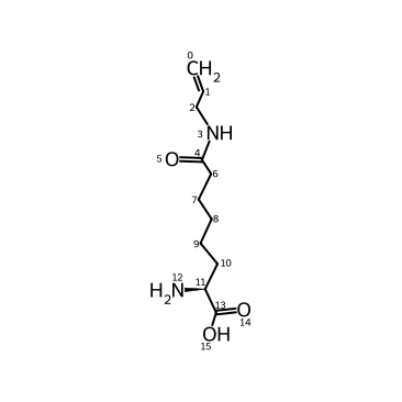 C=CCNC(=O)CCCCC[C@H](N)C(=O)O